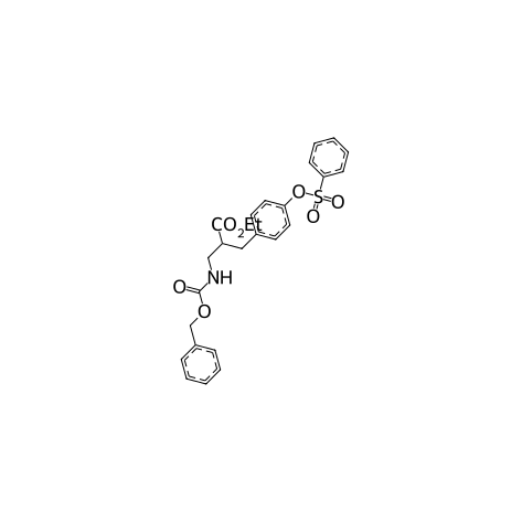 CCOC(=O)C(CNC(=O)OCc1ccccc1)Cc1ccc(OS(=O)(=O)c2ccccc2)cc1